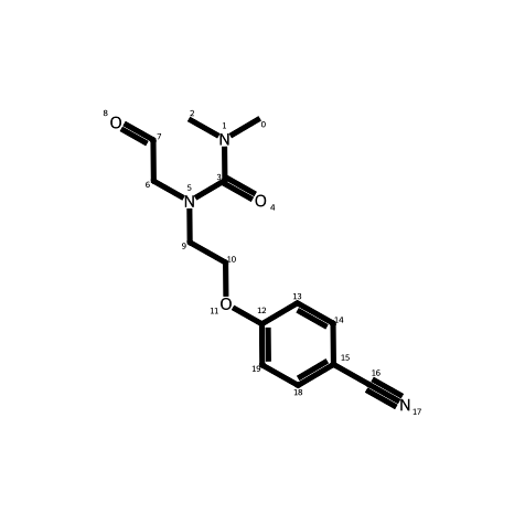 CN(C)C(=O)N(CC=O)CCOc1ccc(C#N)cc1